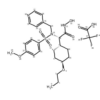 CCCO[C@H]1CC[C@H]([C@@H](C(=O)NO)N(Cc2ccncc2)S(=O)(=O)c2ccc(OC)cc2)CC1.O=C(O)C(F)(F)F